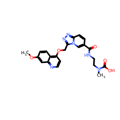 COc1ccc2c(OCc3nnc4ccc(C(=O)NCCN(C)C(=O)O)cn34)ccnc2c1